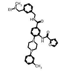 CCN(C)Cc1cccc(CNC(=O)c2ccc(N3CCN(c4cccc(C)c4)CC3)c(NC(=O)c3ccco3)c2)c1